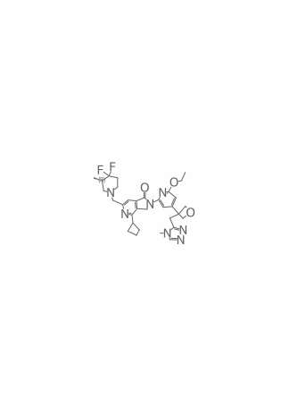 CCOc1cc(C2(Cc3nncn3C)COC2)cc(N2Cc3c(cc(CN4CCC(F)(F)[C@H](C)C4)nc3C3CCC3)C2=O)n1